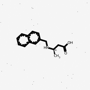 C[C@H](CC(=O)O)NCc1ccc2ccccc2c1